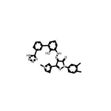 Cc1ccc(N2N=C(c3ccn(C)c3)C(=NNc3cccc(-c4cccc(-c5nnn[nH]5)c4)c3O)C2=O)cc1C